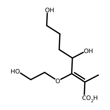 CC(C(=O)O)=C(OCCO)C(O)CCCO